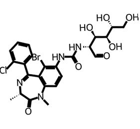 C[C@@H]1N=C(c2ccccc2Cl)c2c(ccc(NC(=O)N[C@@H](C=O)[C@@H](O)[C@H](O)[C@H](O)CO)c2Br)N(C)C1=O